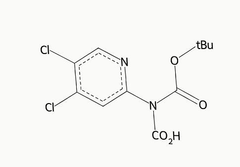 CC(C)(C)OC(=O)N(C(=O)O)c1cc(Cl)c(Cl)cn1